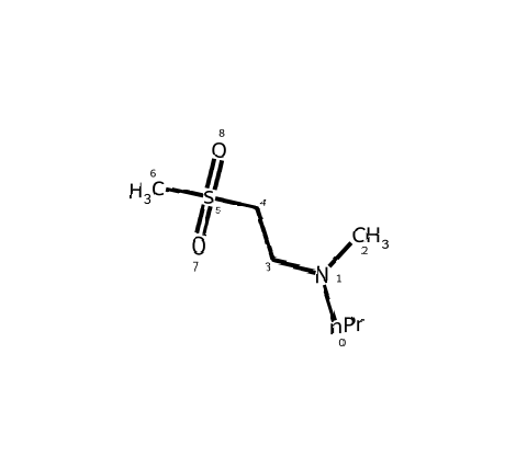 CCCN(C)CCS(C)(=O)=O